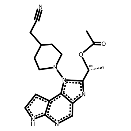 CC(=O)O[C@H](C)c1nc2cnc3[nH]ccc3c2n1N1CCC(CC#N)CC1